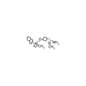 CCO[C@H](CN)Cc1ccc(OCCn2c(C)ccc2-c2cc3ccccc3o2)cc1